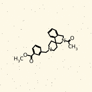 COC(=O)c1cccc(CN2CCC3(CC2)CN(C(C)=O)Cc2ccccc23)c1